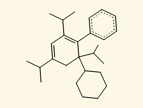 CC(C)C1=CC(C(C)C)=C(c2ccccc2)C(C(C)C)(C2CCCCC2)C1